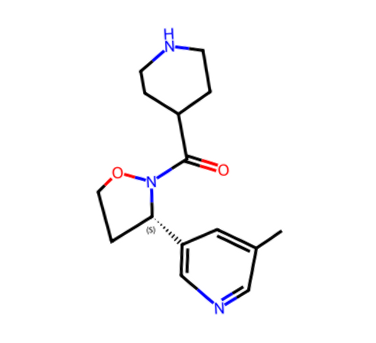 Cc1cncc([C@@H]2CCON2C(=O)C2CCNCC2)c1